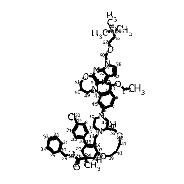 CCOC(O)c1ccc(N2CCN3CC4=C(c5ccc(Cl)cc5)CC(C)(C(=O)OCc5ccccc5)C[C@H]4OCCCOC[C@@H]3C2)cc1N1CCCOc2nc3c(ccn3COCC[Si](C)(C)C)cc21